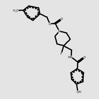 Cc1ccc(COC(=O)N2CCC(F)(CNC(=O)c3ccc(O)cc3)CC2)cc1